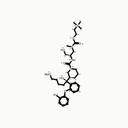 CCc1ccccc1Oc1ccccc1[C@](O)(CCCCOC)[C@@H]1CCCN(C(=O)N[C@@H](CO)CN(C)C(=O)OCC[Si](C)(C)C)C1